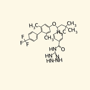 Cc1cc(OC(CC(C)(C)C)c2ccc(C(=O)NC3=NNNN3)cc2)cc(C)c1-c1ccc(C(F)(F)F)cc1